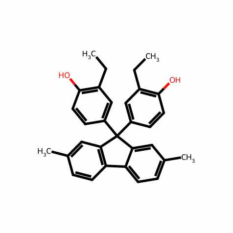 CCc1cc(C2(c3ccc(O)c(CC)c3)c3cc(C)ccc3-c3ccc(C)cc32)ccc1O